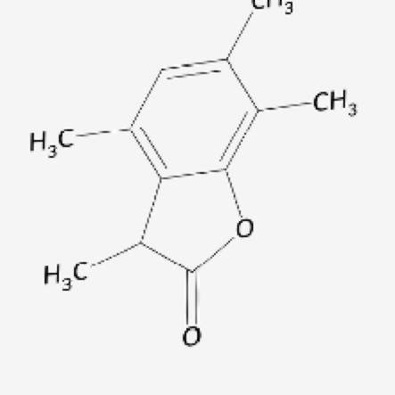 Cc1cc(C)c2c(c1C)OC(=O)C2C